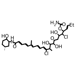 CC/C=C/C(OC(N)=O)C(Cl)C(O)CC(=O)C(O)C(O)C(C)/C(Cl)=C/C=C/C=C(C)/C=C/C=C/C(=O)NC1C[C@H](C)CCC1O